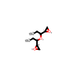 CC(C)(C)CC(OC(CC(C)(C)C)C1CO1)C1CO1